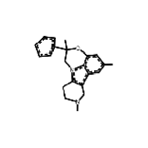 Cc1cc2c3c(c1)c1c(n3CC(C)(c3ccccc3)O2)CCN(C)C1